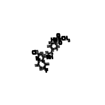 CS(=O)(=O)Nc1ccc(CCNc2cc(Cl)nc3ccc(F)cc23)cc1